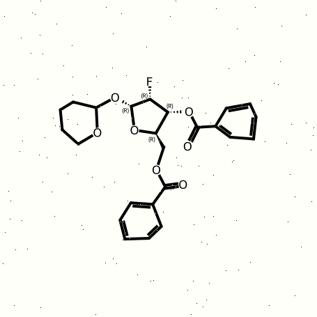 O=C(OC[C@H]1O[C@H](OC2CCCCO2)[C@H](F)[C@@H]1OC(=O)c1ccccc1)c1ccccc1